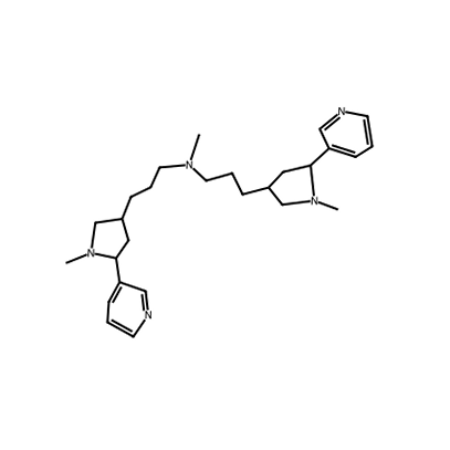 CN(CCCC1CC(c2cccnc2)N(C)C1)CCCC1CC(c2cccnc2)N(C)C1